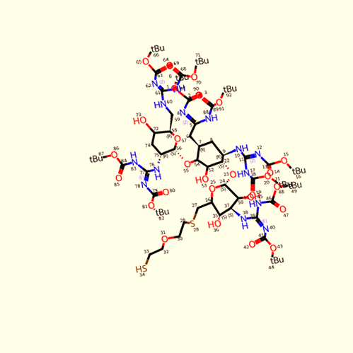 CC(C)(C)OC(=O)/N=C(/C[C@H]1C[C@@H](N/C(=N/C(=O)OC(C)(C)C)NC(=O)OC(C)(C)C)[C@H](O[C@H]2OC(CSCCOCCS)[C@@H](O)[C@H](N/C(=N\C(=O)OC(C)(C)C)NC(=O)OC(C)(C)C)C2O)C(O)C1O[C@H]1O[C@H](CN/C(=N/C(=O)OC(C)(C)C)NC(=O)OC(C)(C)C)C(O)C[C@H]1N/C(=N\C(=O)OC(C)(C)C)NC(=O)OC(C)(C)C)NC(=O)OC(C)(C)C